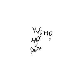 C.[Ca+2].[OH-].[OH-]